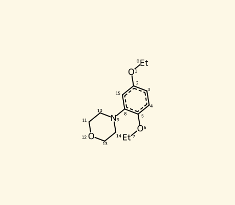 CCOc1ccc(OCC)c(N2CCOCC2)c1